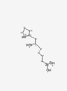 NC(CCCCB(O)O)CC1CCCN1